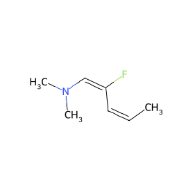 C/C=C\C(F)=C/N(C)C